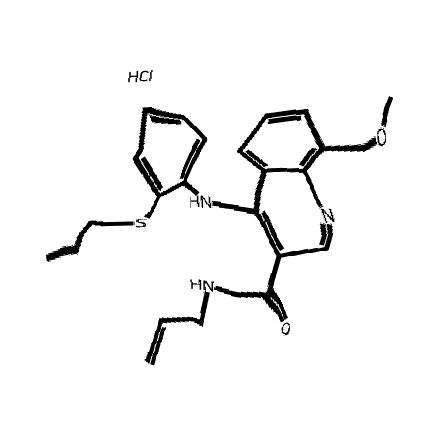 C=CCNC(=O)c1cnc2c(OC)cccc2c1Nc1ccccc1SCCC.Cl